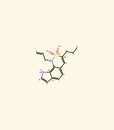 C=CCN1c2c(ccc3cc[nH]c23)C=C(CCC)S1(=O)=O